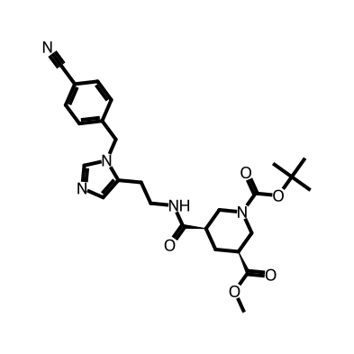 COC(=O)[C@H]1C[C@@H](C(=O)NCCc2cncn2Cc2ccc(C#N)cc2)CN(C(=O)OC(C)(C)C)C1